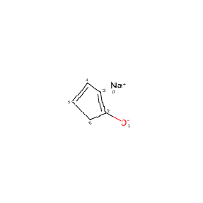 [Na+].[O-]C1=CC=CC1